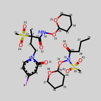 CC(CCn1ccc(I)cc1=O)(C(=O)NOC1CCCCO1)S(C)(=O)=O.CCCC(=O)N(OC1CCCCO1)S(C)(=O)=O